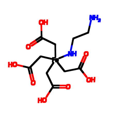 NCC[NH][Fe]([CH2]C(=O)O)([CH2]C(=O)O)([CH2]C(=O)O)[CH2]C(=O)O